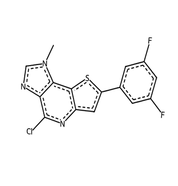 Cn1cnc2c(Cl)nc3cc(-c4cc(F)cc(F)c4)sc3c21